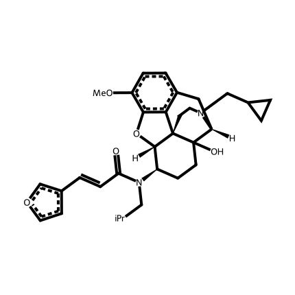 COc1ccc2c3c1O[C@H]1[C@H](N(CC(C)C)C(=O)/C=C/c4ccoc4)CCC4(O)[C@@H](C2)N(CC2CC2)CC[C@]314